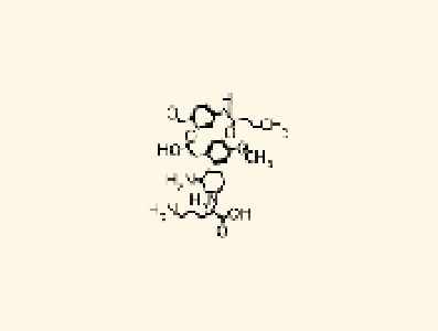 CCCC(=O)Nc1ccc(C=O)cc1.COc1ccc(CC(=O)O)cc1.NC1CCCCC1.NCCC[C@H](N)C(=O)O